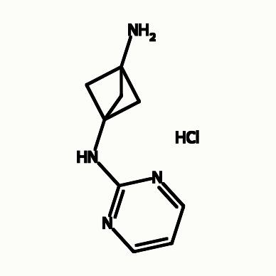 Cl.NC12CC(Nc3ncccn3)(C1)C2